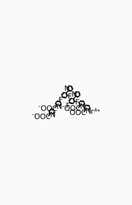 Fc1ccc(-c2ccccn2)c(F)c1.Fc1ccc(-c2ccccn2)c(F)c1.O=C([O-])c1ccccn1.O=C([O-])c1ccccn1.O=C([O-])c1ccccn1.O=C([O-])c1ccccn1.[Ir+4]